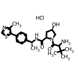 Cc1ncsc1-c1ccc([C@H](C)NC(=O)C2C[C@@H](O)CN2C(=O)C(N)C(C)(C)C)cc1.Cl